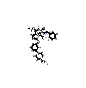 CCn1c(C(C)NS(=O)(=O)/C=C/c2ccccc2)cnc1Oc1cccc(N2CCN(C)CC2)c1